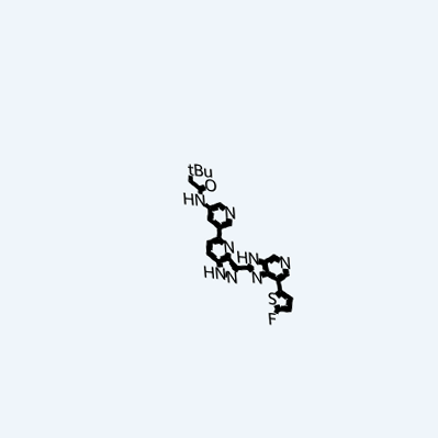 CC(C)(C)CC(=O)Nc1cncc(-c2ccc3[nH]nc(-c4nc5c(-c6ccc(F)s6)cncc5[nH]4)c3n2)c1